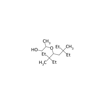 CCC(C)(CC)CC(OC(C)CO)C(C)(CC)CC